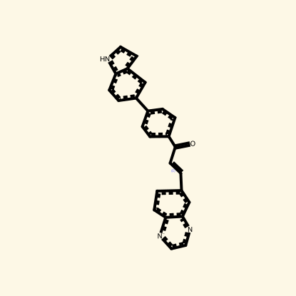 O=C(/C=C/c1ccc2nccnc2c1)c1ccc(-c2ccc3[nH]ccc3c2)cc1